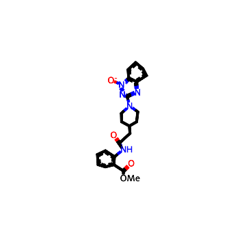 COC(=O)c1ccccc1NC(=O)CC1CCN(c2nc3ccccc3[n+]([O-])n2)CC1